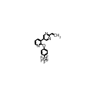 C=Cc1ncc(-c2cccnc2Oc2ccc(S(F)(F)(F)(F)F)cc2)cn1